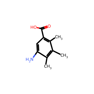 Cc1c(N)cc(C(=O)O)c(C)c1C